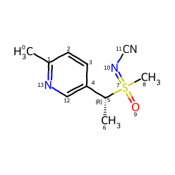 Cc1ccc([C@@H](C)S(C)(=O)=NC#N)cn1